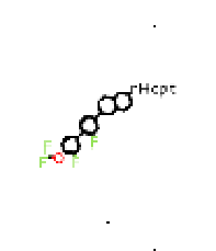 CCCCCCCC1CCC2CC(c3ccc(-c4ccc(OC(F)F)c(F)c4)c(F)c3)CCC2C1